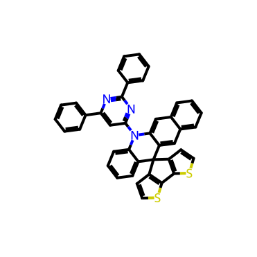 c1ccc(-c2cc(N3c4ccccc4C4(c5cc6ccccc6cc53)c3ccsc3-c3sccc34)nc(-c3ccccc3)n2)cc1